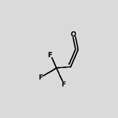 O=C=CC(F)(F)F